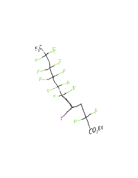 CCOC(=O)C(F)(F)CC(I)C(F)(F)C(F)(F)C(F)(F)C(F)(F)C(F)(F)C(F)(F)F